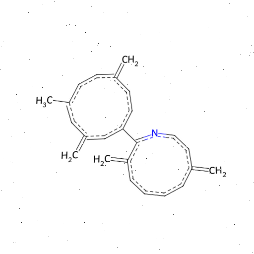 C=c1ccccc(=C)c(-c2ccc(=C)ccc(C)cc(=C)c2)ncc1